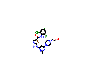 Cc1nc(Nc2ncc(C(=O)Nc3c(F)cc(F)cc3Cl)s2)cc(N2CCN(CCO)CC2)n1